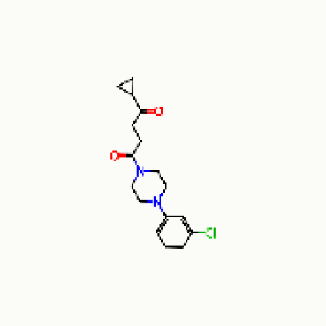 O=C(CCC(=O)N1CCN(C2=CCCC(Cl)=C2)CC1)C1CC1